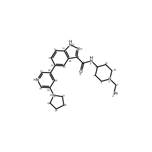 CC(C)CN1CCC(NC(=O)c2n[nH]c3ccc(-c4cncc(N5CCCC5)c4)cc23)CC1